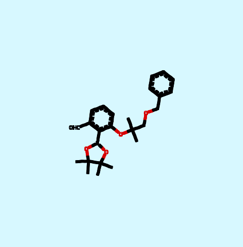 CC(C)(COCc1ccccc1)Oc1cccc(C=O)c1B1OC(C)(C)C(C)(C)O1